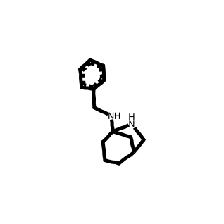 c1ccc(CNC23CCCC(CN2)C3)cc1